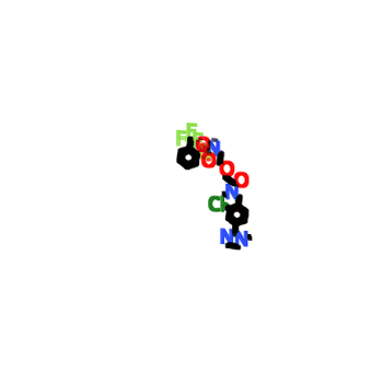 CN(Cc1ccc(C2=NCCN2C)cc1Cl)C(=O)COCCN(C)S(=O)(=O)c1ccccc1C(F)(F)F